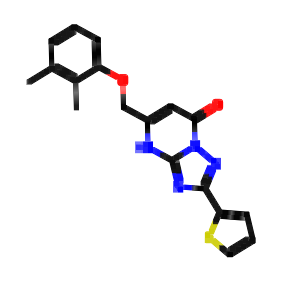 Cc1cccc(OCc2cc(=O)n3nc(-c4cccs4)nc3[nH]2)c1C